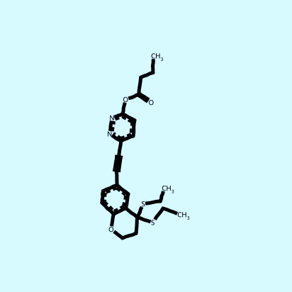 CCCC(=O)Oc1ccc(C#Cc2ccc3c(c2)C(SCC)(SCC)CCO3)nn1